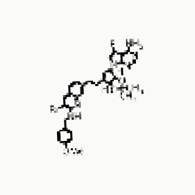 COc1ccc(CNc2nc3cc(CCC4=C[C@@H](n5cc(F)c6c(N)ncnc65)[C@@H]5OC(C)(C)O[C@H]45)ccc3cc2Br)cc1